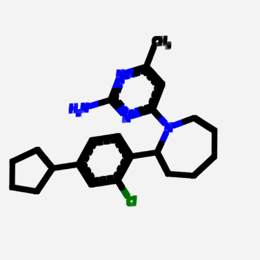 Cc1cc(N2CCCCCC2c2ccc(C3CCCC3)cc2Cl)nc(N)n1